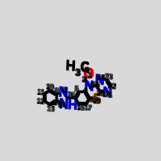 COCN1c2cc(-c3nc4ccccc4[nH]3)ccc2Sc2nccnc21